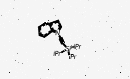 CC(C)[Si](C#Cn1ccc2ccccc21)(C(C)C)C(C)C